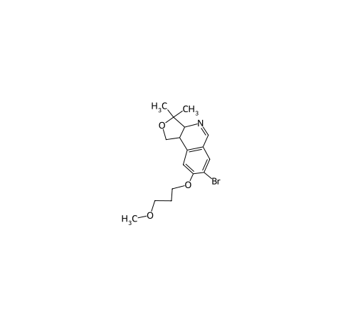 COCCCOc1cc2c(cc1Br)C=NC1C2COC1(C)C